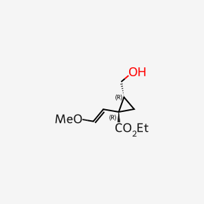 CCOC(=O)[C@]1(C=COC)C[C@H]1CO